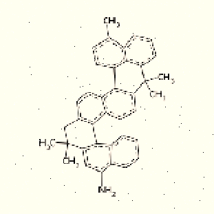 Cc1ccc2c3c(cccc13)C(C)(C)c1ccc3c4c(ccc3c1-2)CC(C)(C)c1cc(N)c2ccccc2c1-4